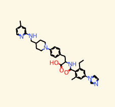 CCc1cc(-n2ccnc2)cc(C)c1C(=O)NC(Cc1ccc(N2CCC(CNc3cc(C)ccn3)CC2)cc1)C(=O)O